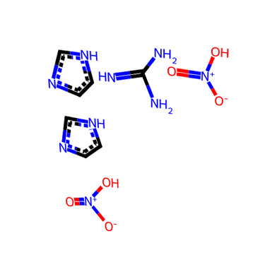 N=C(N)N.O=[N+]([O-])O.O=[N+]([O-])O.c1c[nH]cn1.c1c[nH]cn1